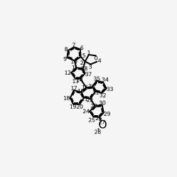 CCC1(CC)c2ccccc2-c2ccc(-c3c4ccccc4c(-c4ccc(OC)cc4)c4ccccc34)cc21